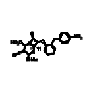 CC(=O)NC1S[C@@H]2C(Oc3ccccc3Cc3ccc([N+](=O)[O-])cc3)C(=O)N2C(C(=O)O)C1=C=O